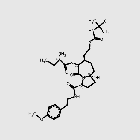 CC[C@H](N)C(=O)N[C@@H]1C(=O)N2[C@@H](CCC1CCNC(=O)NC(C)(C)C)CC[C@H]2C(=O)NCCc1ccc(OC)cc1